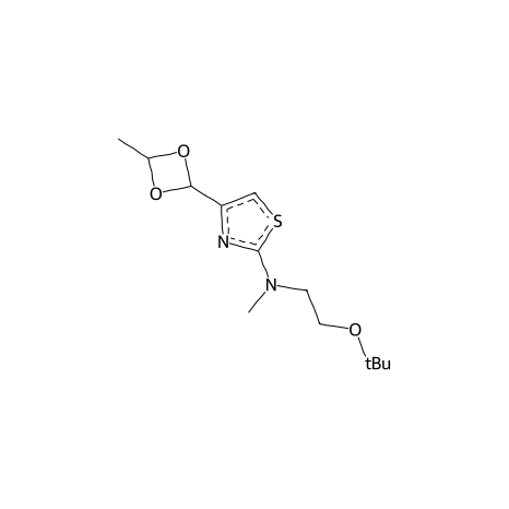 CC1OC(c2csc(N(C)CCOC(C)(C)C)n2)O1